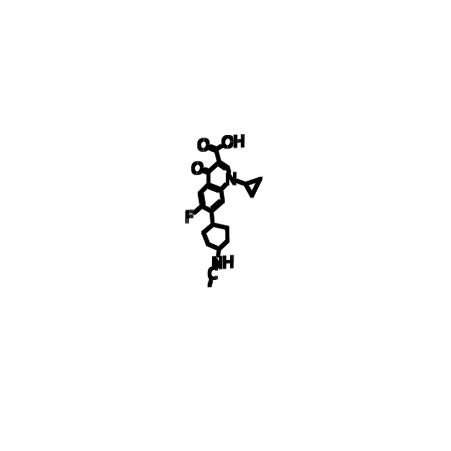 CCNC1CCC(c2cc3c(cc2F)c(=O)c(C(=O)O)cn3C2CC2)CC1